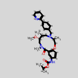 CO[C@H]1CN(C)C(=O)c2cc(NC(=O)OC(C)C)ccc2OC[C@H](C)N(Cc2ccc(-c3ccccn3)cc2)C[C@@H]1C